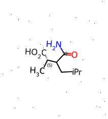 CC(C)CC(C(N)=O)[C@H](C)C(=O)O